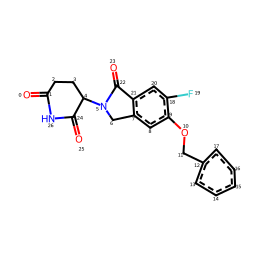 O=C1CCC(N2Cc3cc(OCc4ccccc4)c(F)cc3C2=O)C(=O)N1